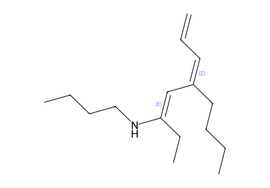 C=C/C=C(\C=C(/CC)NCCCC)CCCC